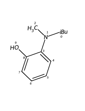 CCC(C)N(C)c1ccccc1O